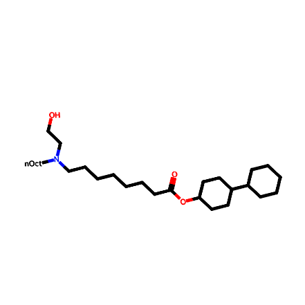 CCCCCCCCN(CCO)CCCCCCCC(=O)OC1CCC(C2CCCCC2)CC1